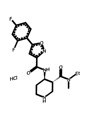 CCN(C)C(=O)[C@@H]1CNCC[C@H]1NC(=O)c1cc(-c2ccc(F)cc2F)on1.Cl